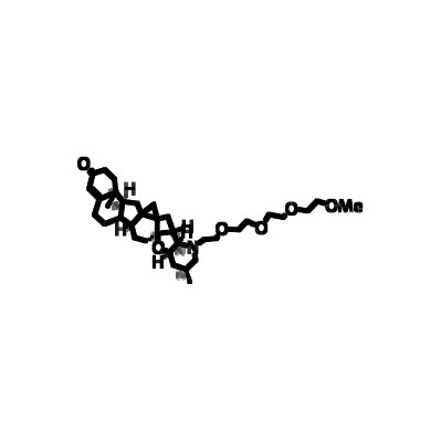 COCCOCCOCCOCCN1C[C@@H](C)C[C@H]2O[C@@]34CC[C@H]5C6CCC7=CC(=O)CC[C@]7(C)[C@H]6CC56CC63C[C@@H]4[C@@H]21